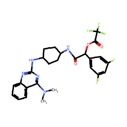 CN(C)c1nc(NC2CCC(NC(=O)C(OC(=O)C(F)(F)F)c3cc(F)cc(F)c3)CC2)nc2ccccc12